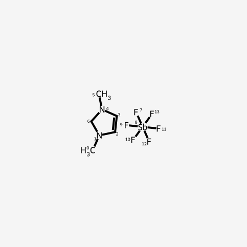 CN1C=CN(C)C1.[F][Sb-]([F])([F])([F])([F])[F]